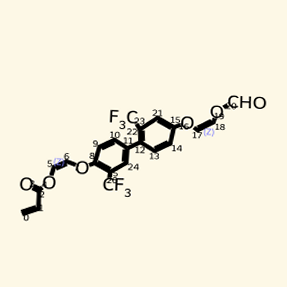 C=CC(=O)O/C=C\Oc1ccc(-c2ccc(O/C=C\OC=O)cc2C(F)(F)F)cc1C(F)(F)F